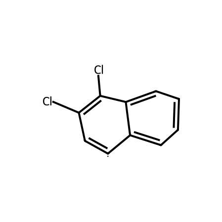 Clc1c[c]c2ccccc2c1Cl